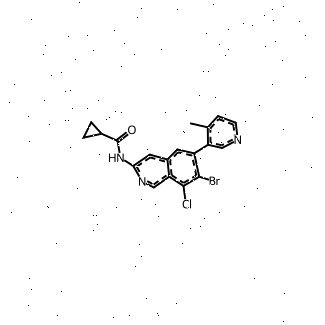 Cc1ccncc1-c1cc2cc(NC(=O)C3CC3)ncc2c(Cl)c1Br